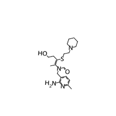 C/C(=C(\CCO)SCCN1CCCCC1)N(C=O)Cc1ccc(C)nc1N